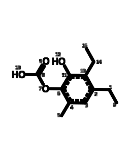 CCc1cc(C)c(OC(=O)O)c(O)c1CC